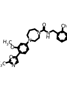 COc1cc(N2CCCN(C(=O)NCc3ccccc3C)CC2)ccc1-c1cnc(C)o1